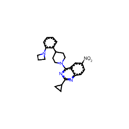 O=[N+]([O-])c1ccc2nc(C3CC3)nc(N3CCC(c4ccccc4N4CCC4)CC3)c2c1